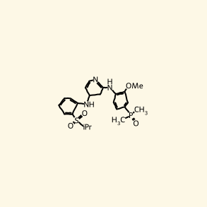 COc1cc(P(C)(C)=O)ccc1NC1=NC=CC(Nc2ccccc2S(=O)(=O)C(C)C)C1